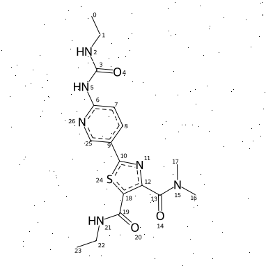 CCNC(=O)Nc1ccc(-c2nc(C(=O)N(C)C)c(C(=O)NCC)s2)cn1